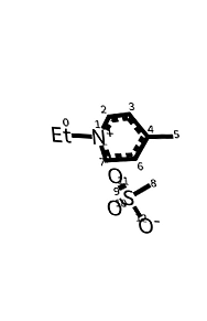 CC[n+]1ccc(C)cc1.CS(=O)(=O)[O-]